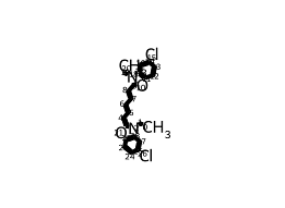 CCN1C(=CC=CC=Cc2oc3ccc(Cl)cc3[n+]2CC)Oc2ccc(Cl)cc21